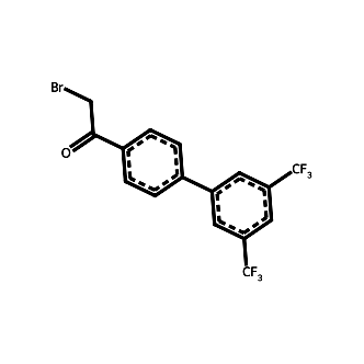 O=C(CBr)c1ccc(-c2cc(C(F)(F)F)cc(C(F)(F)F)c2)cc1